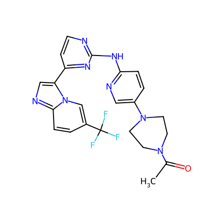 CC(=O)N1CCN(c2ccc(Nc3nccc(-c4cnc5ccc(C(F)(F)F)cn45)n3)nc2)CC1